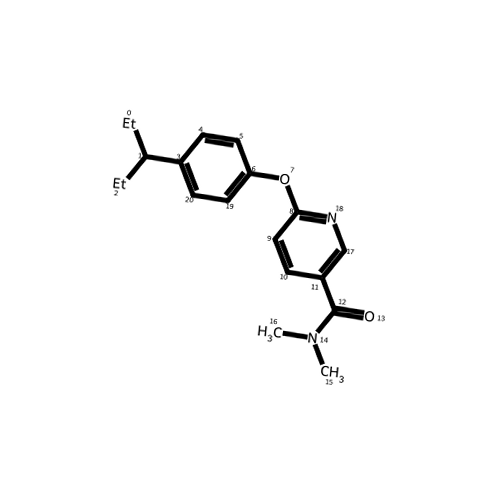 CCC(CC)c1ccc(Oc2ccc(C(=O)N(C)C)cn2)cc1